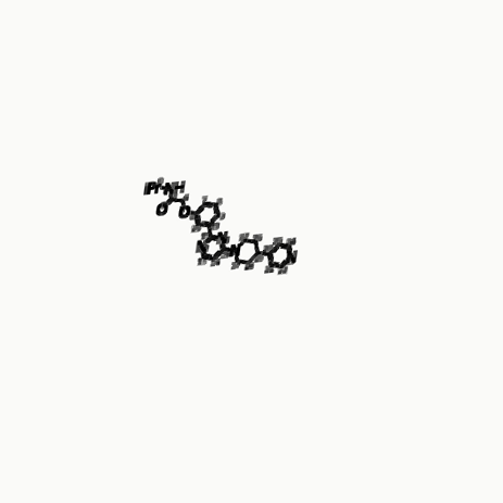 CC(C)NC(=O)COc1cccc(-c2nccc(N3CCC(c4ccncc4)CC3)n2)c1